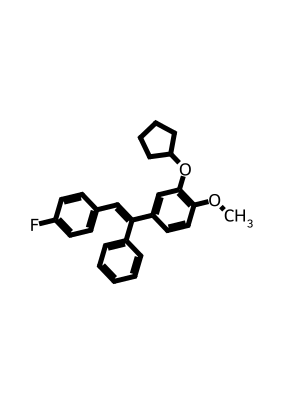 COc1ccc(C(=Cc2ccc(F)cc2)c2ccccc2)cc1OC1CCCC1